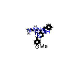 COc1ccc(CN2CCC3NN(Cc4ccccc4)c4nc(N(C)CCN(C)C)nc2c43)cc1